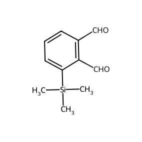 C[Si](C)(C)c1cccc(C=O)c1C=O